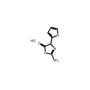 Cl.NC1=NC(c2cccs2)C(=O)O1